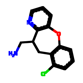 NCC1Cc2c(Cl)cccc2Oc2cccnc21